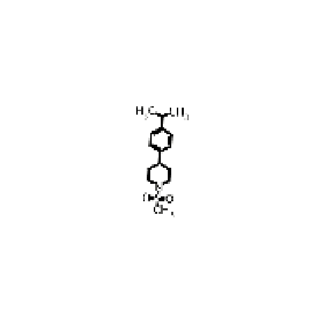 CC(C)c1ccc(C2CCN(S(C)(=O)=O)CC2)cc1